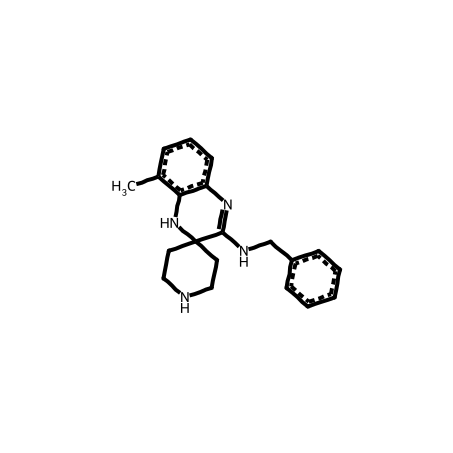 Cc1cccc2c1NC1(CCNCC1)C(NCc1ccccc1)=N2